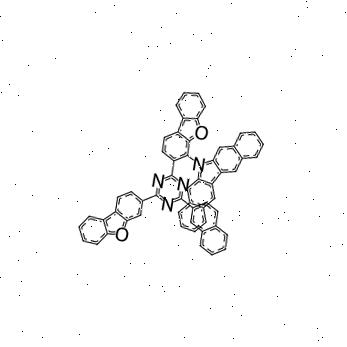 c1ccc2cc(-c3nc(-c4ccc5c(c4)oc4ccccc45)nc(-c4ccc5c(oc6ccccc65)c4-n4c5cc6ccccc6cc5c5cc6ccccc6cc54)n3)ccc2c1